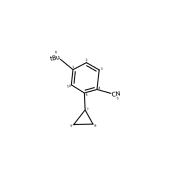 CC(C)(C)c1ccc(C#N)c(C2CC2)c1